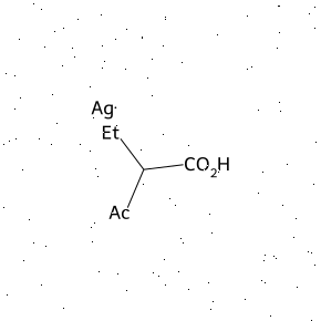 CCC(C(C)=O)C(=O)O.[Ag]